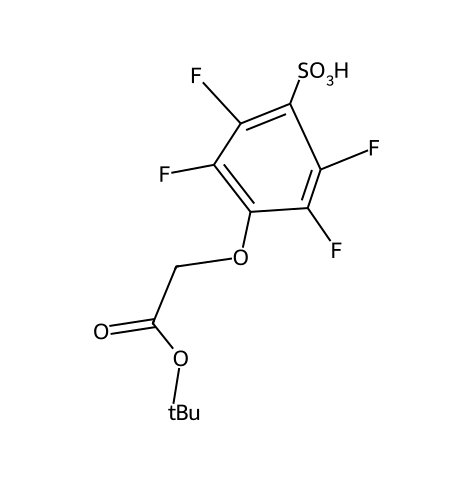 CC(C)(C)OC(=O)COc1c(F)c(F)c(S(=O)(=O)O)c(F)c1F